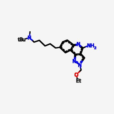 CCOCn1cc2c(N)nc3ccc(CCCCCN(C)C(C)(C)C)cc3c2n1